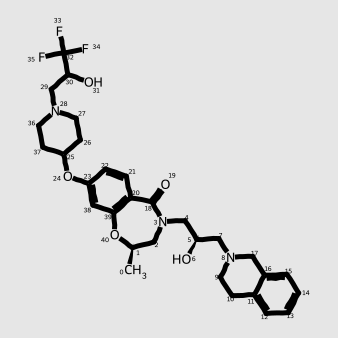 C[C@@H]1CN(C[C@H](O)CN2CCc3ccccc3C2)C(=O)c2ccc(OC3CCN(CC(O)C(F)(F)F)CC3)cc2O1